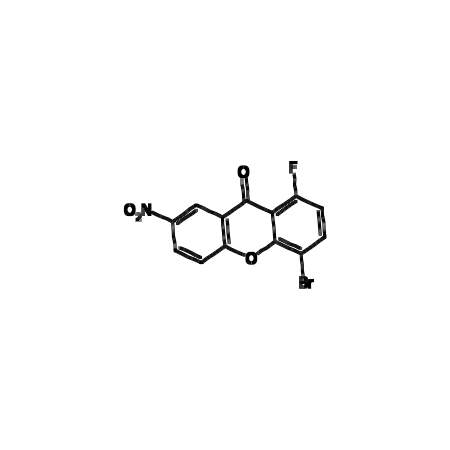 O=c1c2cc([N+](=O)[O-])ccc2oc2c(Br)ccc(F)c12